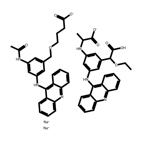 CC(=O)Nc1cc(COCCCC(=O)[O-])cc(Nc2c3ccccc3nc3ccccc23)c1.CCOC(C(=O)O)c1cc(Nc2c3ccccc3nc3ccccc23)cc(NC(C)C(=O)[O-])c1.[Na+].[Na+]